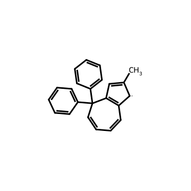 CC1=CC2=C([CH]1)C=CC=CC2(c1ccccc1)c1ccccc1